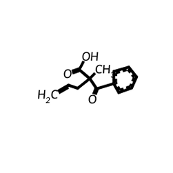 C=CCC(C)(C(=O)O)C(=O)c1ccccc1